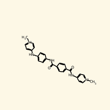 C[n+]1ccc(NC(=O)c2ccc(C(=O)Nc3ccc(Nc4cc[n+](C)cc4)cc3)cc2)cc1